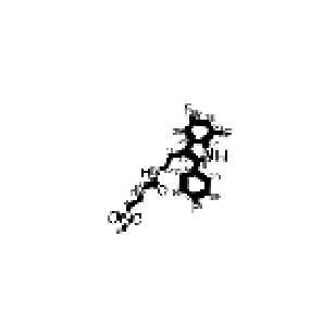 CS(=O)(=O)CCNC(=O)NCCc1c(-c2ccc(F)cc2)[nH]c2c(F)cc(F)cc12